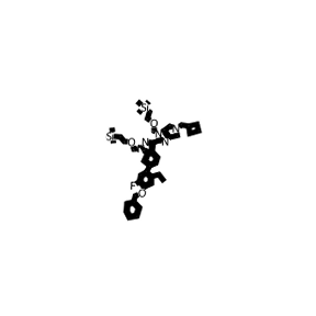 CCc1cc(OCc2ccccc2)c(F)cc1-c1ccc2c(-c3nc4c(n3COCC[Si](C)(C)C)CN(CC3CCC3)C4)nn(COCC[Si](C)(C)C)c2c1